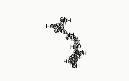 O=C(NCCOCCOc1c(-c2ccc(O)c(O)c2)oc2cc(O)cc(O)c2c1=O)c1ccc(Oc2ccc(C(=O)NCCOCCOc3c(-c4ccc(O)c(O)c4)oc4cc(O)cc(O)c4c3=O)cc2)cc1